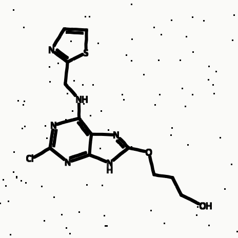 OCCCOc1nc2c(NCc3nccs3)nc(Cl)nc2[nH]1